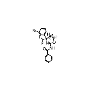 O=C(NC1=N[C@@](c2cccc(Br)c2)(C(F)F)[C@H]2C[C@H]2O1)c1ccccc1